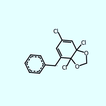 ClC1=CC2(Cl)OCOC2(Cl)C([CH]c2ccccc2)=C1